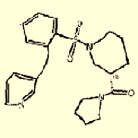 O=C([C@H]1CCCN(S(=O)(=O)c2cc[c]cc2Cc2cccnc2)C1)N1CCCC1